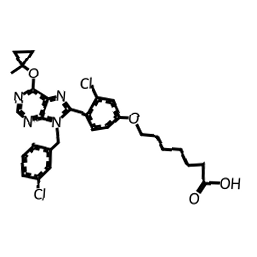 CC1(Oc2ncnc3c2nc(-c2ccc(OCCCCCCC(=O)O)cc2Cl)n3Cc2cccc(Cl)c2)CC1